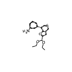 CCOC(OCC)c1cc2cncc(-c3cccc(N)c3)c2o1